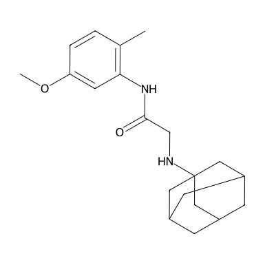 COc1ccc(C)c(NC(=O)CNC23CC4CC(CC(C4)C2)C3)c1